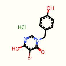 Cl.O=c1c(Br)c(O)ncn1Cc1ccc(O)cc1